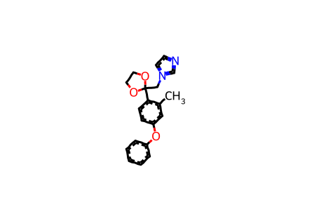 Cc1cc(Oc2ccccc2)ccc1C1(Cn2ccnc2)OCCO1